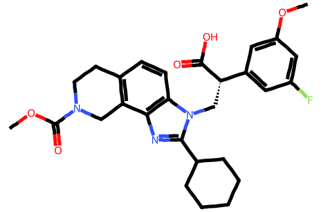 COC(=O)N1CCc2ccc3c(nc(C4CCCCC4)n3C[C@H](C(=O)O)c3cc(F)cc(OC)c3)c2C1